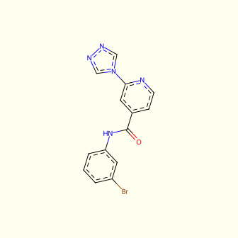 O=C(Nc1cccc(Br)c1)c1ccnc(-n2cnnc2)c1